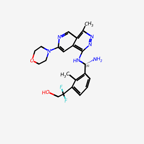 Cc1c([C@@H](N)Nc2nnc(C)c3cnc(N4CCOCC4)cc23)cccc1C(F)(F)CO